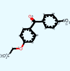 CCOC(=O)COc1ccc(C(=O)c2ccc([N+](=O)[O-])cc2)cc1